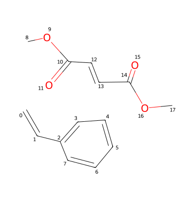 C=Cc1ccccc1.COC(=O)C=CC(=O)OC